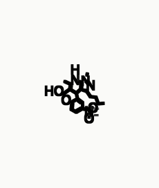 CCCCc1nn(C)c2c1C(c1cccc([N+](=O)[O-])c1)C(C(=O)O)=C(C)N2